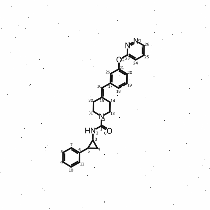 O=C(NC1CC1c1ccccc1)N1CCC(=Cc2cccc(Oc3cccnn3)c2)CC1